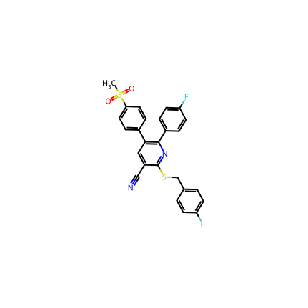 CS(=O)(=O)c1ccc(-c2cc(C#N)c(SCc3ccc(F)cc3)nc2-c2ccc(F)cc2)cc1